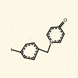 O=c1ccn(Cc2ccc(I)cc2)cc1